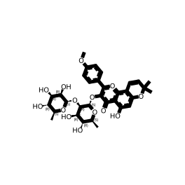 COc1ccc(-c2oc3c4c(cc(O)c3c(=O)c2O[C@@H]2O[C@@H](C)[C@H](O)[C@@H](O)[C@H]2O[C@@H]2O[C@@H](C)[C@H](O)[C@@H](O)[C@H]2O)OC(C)(C)C=C4)cc1